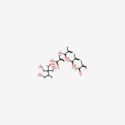 C=C(C)C(=O)O.C=C(C)C(=O)O.C=C(C)C(=O)O.C=C(C)C(=O)O.CC(CO)C(CO)(CO)CO